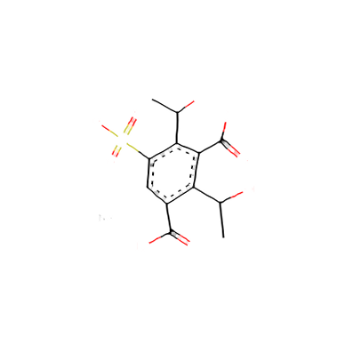 CC(O)c1c(C(=O)O)cc(S(=O)(=O)O)c(C(C)O)c1C(=O)O.[NaH]